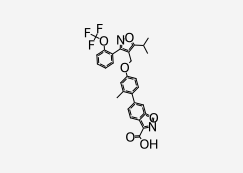 Cc1cc(OCc2c(-c3ccccc3OC(F)(F)F)noc2C(C)C)ccc1-c1ccc2c(C(=O)O)noc2c1